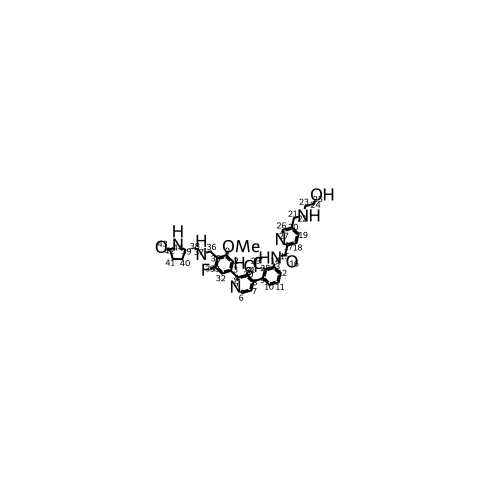 COc1cc(-c2nccc(-c3cccc(NC(=O)c4ccc(CNCCO)cn4)c3C)c2Cl)cc(F)c1CNC[C@@H]1CCC(=O)N1